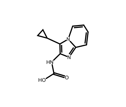 O=C(O)Nc1nc2ccccn2c1C1CC1